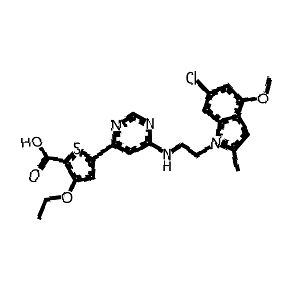 CCOc1cc(-c2cc(NCCn3c(C)cc4c(OC)cc(Cl)cc43)ncn2)sc1C(=O)O